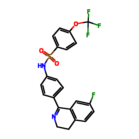 O=S(=O)(Nc1ccc(C2=NCCc3ccc(F)cc32)cc1)c1ccc(OC(F)(F)F)cc1